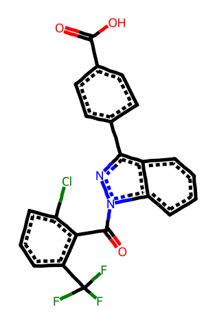 O=C(O)c1ccc(-c2nn(C(=O)c3c(Cl)cccc3C(F)(F)F)c3ccccc23)cc1